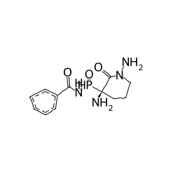 NN1CCC[C@](N)([PH](=O)NC(=O)c2ccccc2)C1=O